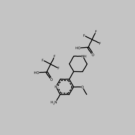 COc1cc(N)ncc1C1CCNCC1.O=C(O)C(F)(F)F.O=C(O)C(F)(F)F